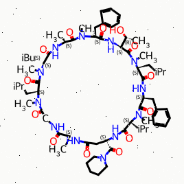 CC[C@H](C)[C@H]1C(=O)N[C@@H](C)C(=O)N(C)[C@@H](Cc2ccccc2)C(=O)N[C@@H]([C@@H](C)O)C(=O)N(C)[C@@H](CC(C)C)C(=O)N[C@@H](Cc2ccccc2)C(=O)N(C)[C@@H](C(C)C)C(=O)N[C@H](C(=O)N2CCCCC2)CC(=O)N[C@@H](C)C(=O)NCC(=O)N(C)[C@@H](CC(C)C)C(=O)N1C